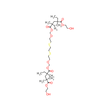 CCC(C)(CC(C)(C)C(=O)OCOCCSCCSCCOCOC(=O)C(C)(CC)CC(C)(C)C(=O)OCCO)C(=O)OCCO